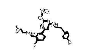 COCCNCc1cc(-c2cc(NCCc3ccc(OC)cc3)nc(OC)n2)ccc1F.Cl